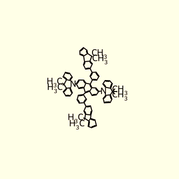 CC1(C)c2ccccc2-c2ccc(-c3cccc(-c4c5ccc(N6c7ccccc7C(C)(C)c7ccccc76)cc5c(-c5cccc(-c6ccc7c(c6)C(C)(C)c6ccccc6-7)c5)c5ccc(N6c7ccccc7C(C)(C)c7ccccc76)cc45)c3)cc21